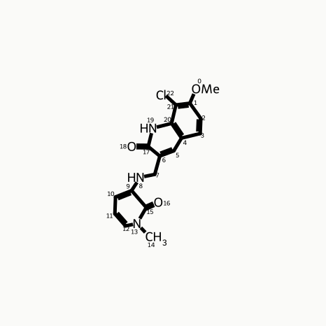 COc1ccc2cc(CNc3cccn(C)c3=O)c(=O)[nH]c2c1Cl